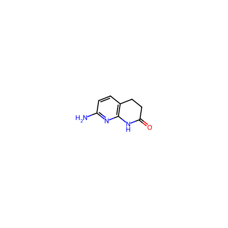 Nc1ccc2c(n1)NC(=O)CC2